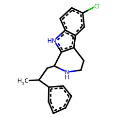 CC(CC1NCCc2c1[nH]c1ccc(Cl)cc21)c1ccccc1